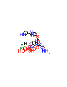 CC1(C)[C@H](NC(=O)/C(=N\OCCOc2ccc3nc(C4CCCNC4)cn3c2)c2csc(N)n2)C(=O)N1OS(=O)(=O)O.O=C(O)C(F)(F)F